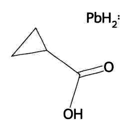 O=C(O)C1CC1.[PbH2]